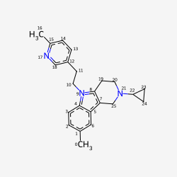 Cc1ccc2c(c1)c1c(n2CCc2ccc(C)nc2)CCN(C2CC2)C1